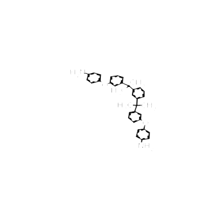 CC(C)(c1cccc(Oc2ccc(N)cc2)c1)c1cccc(C(C)(C)c2cccc(Oc3ccc(N)cc3)c2)c1